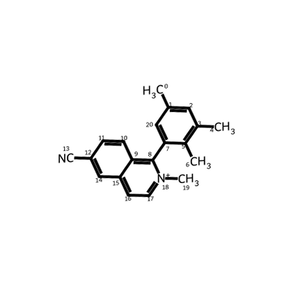 Cc1cc(C)c(C)c(-c2c3ccc(C#N)cc3cc[n+]2C)c1